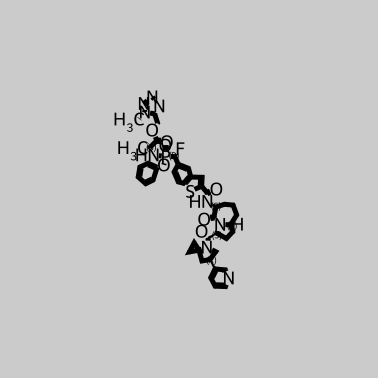 C[C@H](NP(=O)(Oc1ccccc1)[C@@H](F)c1ccc2sc(C(=O)N[C@H]3CCC[C@H]4CC[C@@H](C(=O)N5C[C@@H](c6cccnc6)CC56CC6)N4C3=O)cc2c1)C(=O)OCc1nnnn1C